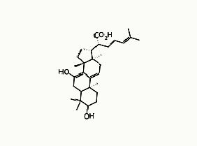 CC(C)=CCC[C@@H](C(=O)O)[C@H]1CC[C@@]2(C)C3=C(O)CC4C(C)(C)C(O)CC[C@]4(C)C3=CC[C@]12C